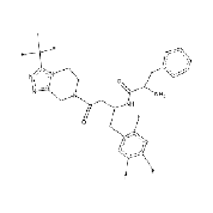 CC(F)(F)c1nnc2n1CCN(C(=O)CC(Cc1cc(F)c(F)cc1F)NC(=O)C(N)Cc1ccccc1)C2